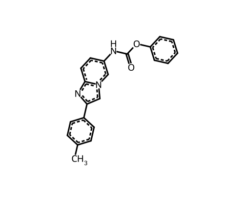 Cc1ccc(-c2cn3cc(NC(=O)Oc4ccccc4)ccc3n2)cc1